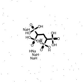 O=P(O)(O)C(CC(P(=O)(O)O)P(=O)(O)O)P(=O)(O)O.[NaH].[NaH].[NaH].[NaH]